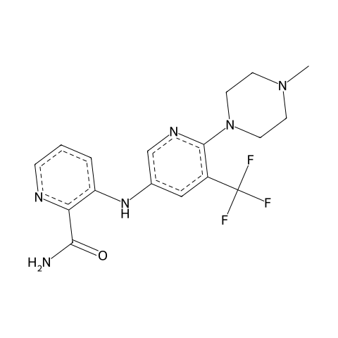 CN1CCN(c2ncc(Nc3cccnc3C(N)=O)cc2C(F)(F)F)CC1